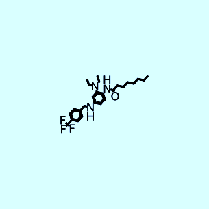 CCCCCCCC(=O)Nc1ccc(NCc2ccc(C(F)(F)F)cc2)cc1N(CC)CC